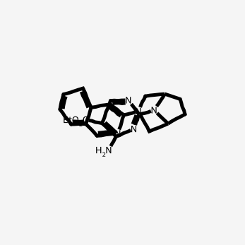 CCOC(=O)c1cnc(N2C3CCC2CN(c2cc4ccccc4cn2)C3)nc1N